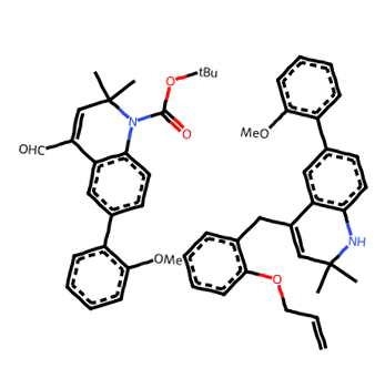 C=CCOc1ccccc1CC1=CC(C)(C)Nc2ccc(-c3ccccc3OC)cc21.COc1ccccc1-c1ccc2c(c1)C(C=O)=CC(C)(C)N2C(=O)OC(C)(C)C